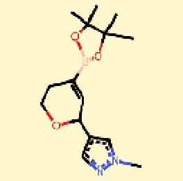 Cn1cc(C2C=C(B3OC(C)(C)C(C)(C)O3)CCO2)cn1